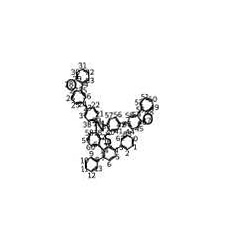 c1ccc(-c2ccc(-c3ccccc3)c3c2sc2c(N(c4ccc(-c5ccc6oc7ccccc7c6c5)cc4)c4ccc(-c5ccc6oc7ccccc7c6c5)cc4)cccc23)cc1